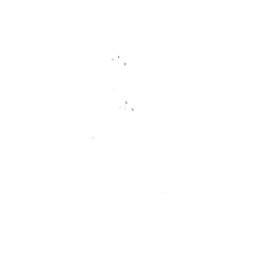 Fc1cccc(-n2[c]ncc2)c1